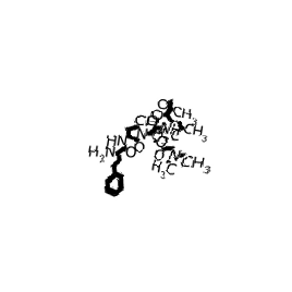 CCN(CC)CC(=O)OC[C@@H](C(=O)N[C@@H](CC(C)C)C(=O)C1(C)CO1)N1C(=O)[C@@H](NC(=O)[C@@H](N)CCc2ccccc2)CC1C